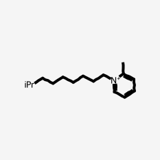 Cc1cccc[n+]1CCCCCCCC(C)C